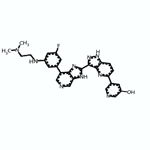 CN(C)CCNc1cc(F)cc(-c2cncc3[nH]c(-c4n[nH]c5ccc(-c6cncc(O)c6)nc45)nc23)c1